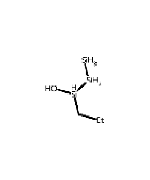 [CH2]CC[SiH](O)[SiH2][SiH3]